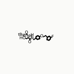 CC(C)(C)OC(=O)NC(CO)C(=O)NCc1ccc(OCCc2cccc(F)c2)cc1